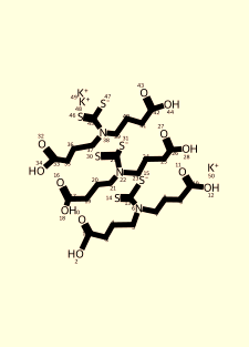 O=C(O)CCCN(CCCC(=O)O)C(=S)[S-].O=C(O)CCCN(CCCC(=O)O)C(=S)[S-].O=C(O)CCCN(CCCC(=O)O)C(=S)[S-].[K+].[K+].[K+]